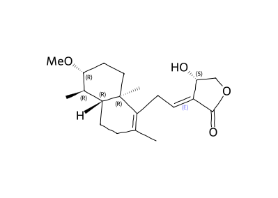 CO[C@@H]1CC[C@@]2(C)C(C/C=C3/C(=O)OC[C@H]3O)=C(C)CC[C@@H]2[C@H]1C